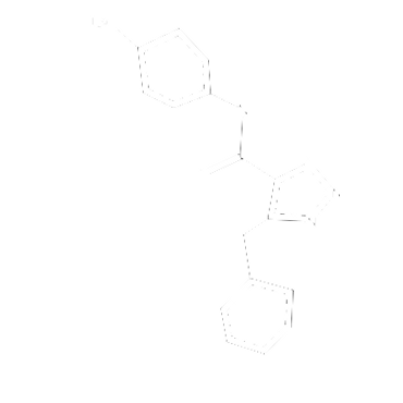 CC(C)(C)c1ccc(NC(=O)c2snnc2Cc2ccccc2)cc1